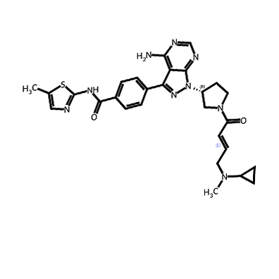 Cc1cnc(NC(=O)c2ccc(-c3nn([C@@H]4CCN(C(=O)/C=C/CN(C)C5CC5)C4)c4ncnc(N)c34)cc2)s1